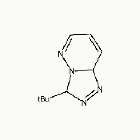 CC(C)(C)C1N=NC2C=CC=NN21